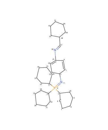 C1=CC(N=P(C2CCCCC2)(C2CCCCC2)C2CCCCC2)CC=C1N=CC1CCCCC1